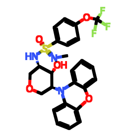 CN=S(=O)(N[C@H]1COC[C@H](N2c3ccccc3Oc3ccccc32)[C@@H]1O)c1ccc(OC(F)(F)F)cc1